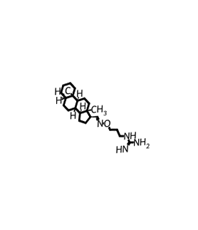 C[C@]12CCCC[C@H]1CC[C@@H]1[C@@H]2CC[C@]2(C)[C@@H](/C=N/OCCCNC(=N)N)CC[C@@H]12